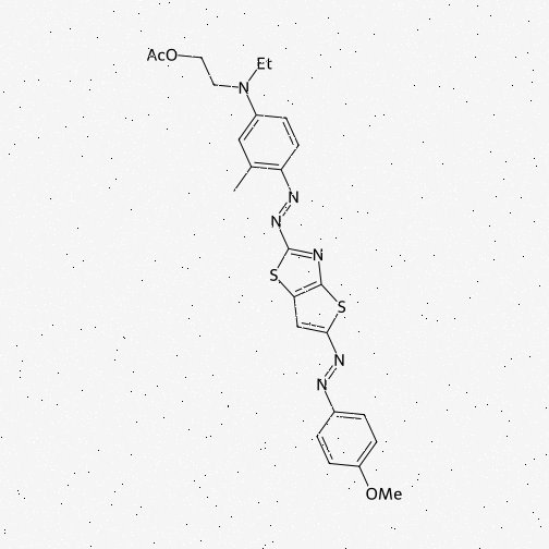 CCN(CCOC(C)=O)c1ccc(N=Nc2nc3sc(N=Nc4ccc(OC)cc4)cc3s2)c(C)c1